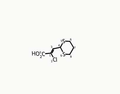 O=C(O)/C(Cl)=C/C1SCCCS1